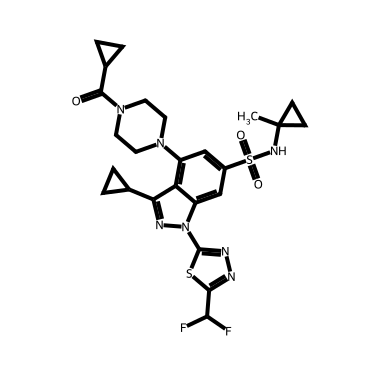 CC1(NS(=O)(=O)c2cc(N3CCN(C(=O)C4CC4)CC3)c3c(C4CC4)nn(-c4nnc(C(F)F)s4)c3c2)CC1